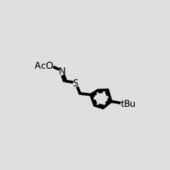 CC(=O)ON=CSCc1ccc(C(C)(C)C)cc1